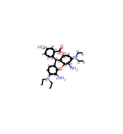 CCN(CC)c1ccc2c(c1N)Oc1c(ccc(N(CC)CC)c1N)C2c1ccccc1C(=O)O.Cl